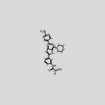 C[C@H](O)C(=O)Nc1cccc(-c2cc3nc(-c4cnc(N)nc4)nc(N4CCOCC4)c3s2)c1